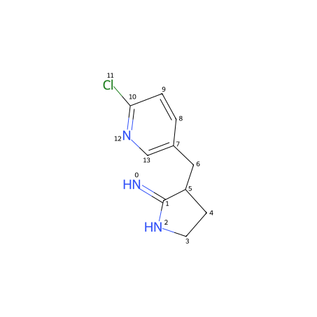 N=C1NCCC1Cc1ccc(Cl)nc1